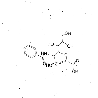 O=C(O)C1=C[C@@H](O)C(NC(=O)c2ccccc2)C(C(O)C(O)CO)O1